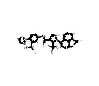 O=C(Nc1ccc(-n2nccn2)c(C(F)F)c1)c1cnn(-c2cnc3c4c(cccc24)C(=O)N3)c1C(F)(F)F